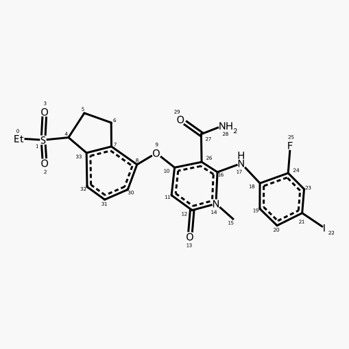 CCS(=O)(=O)C1CCc2c(Oc3cc(=O)n(C)c(Nc4ccc(I)cc4F)c3C(N)=O)cccc21